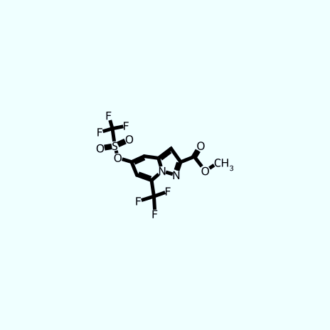 COC(=O)c1cc2cc(OS(=O)(=O)C(F)(F)F)cc(C(F)(F)F)n2n1